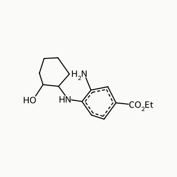 CCOC(=O)c1ccc(NC2CCCCC2O)c(N)c1